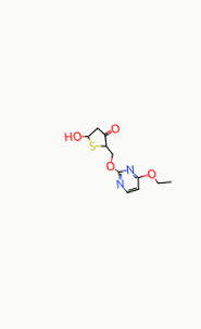 CCOc1ccnc(OCC2SC(O)CC2=O)n1